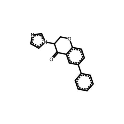 O=C1c2cc(-c3ccccc3)ccc2OCC1n1ccnc1